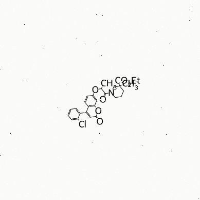 CCOC(=O)C1(C)CCCN(C(=O)C(C)Oc2ccc3c(-c4ccccc4Cl)cc(=O)oc3c2)C1